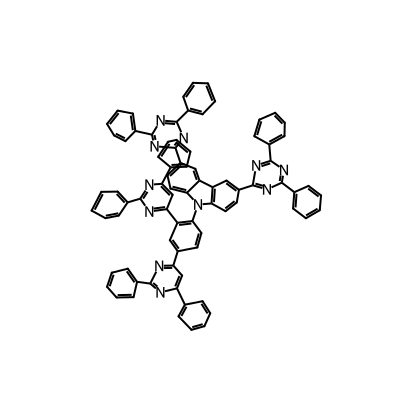 c1ccc(-c2cc(-c3ccc(-n4c5ccc(-c6nc(-c7ccccc7)nc(-c7ccccc7)n6)cc5c5cc(-c6nc(-c7ccccc7)nc(-c7ccccc7)n6)ccc54)c(-c4cc(-c5ccccc5)nc(-c5ccccc5)n4)c3)nc(-c3ccccc3)n2)cc1